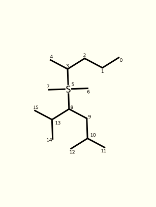 CCCC(C)S(C)(C)C(CC(C)C)C(C)C